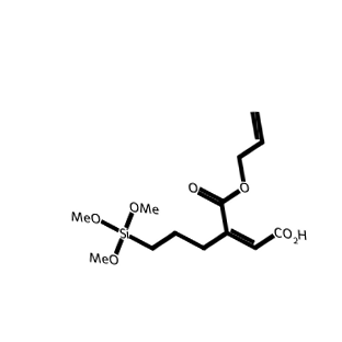 C=CCOC(=O)C(=CC(=O)O)CCC[Si](OC)(OC)OC